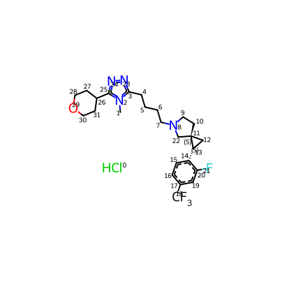 Cl.Cn1c(CCCCN2CC[C@]3(C[C@@H]3c3ccc(C(F)(F)F)cc3F)C2)nnc1C1CCOCC1